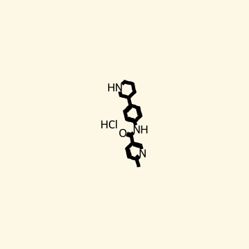 Cc1ccc(C(=O)Nc2ccc(C3CCCNC3)cc2)cn1.Cl